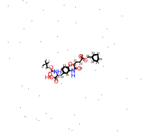 CC(C)(C)COC(=O)N[C@@H](Cc1ccc2c(c1)NC(=O)C(CCC(=O)OCc1ccccc1)O2)C(=O)O